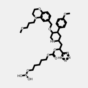 COCCCN1CCOc2ccc(COC3CNC(CC(OC(=O)OCCCCCON(O)O)c4nnn[nH]4)CC3c3ccc(OC)cc3)cc21